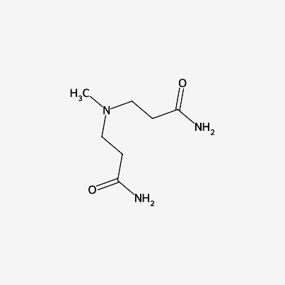 CN(CCC(N)=O)CCC(N)=O